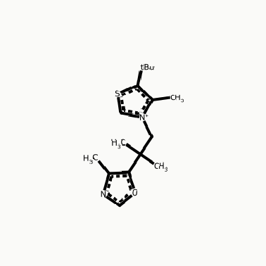 Cc1ncoc1C(C)(C)C[n+]1csc(C(C)(C)C)c1C